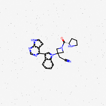 N#CCC1(n2cc(-c3ncnc4[nH]ccc34)c3ccccc32)CN(C(=O)[C@@H]2CCCN2)C1